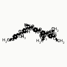 C=CCOC(=O)c1ccc(NC(=O)c2ccc(NC(=O)c3ccc(NC(=O)[C@H](CC#N)NC(=O)c4ccc(NC(=O)/C(C)=C/c5ccc(OCC=C)cc5)cn4)cc3)c(OC)c2OCC=C)c(OC)c1OCC=C